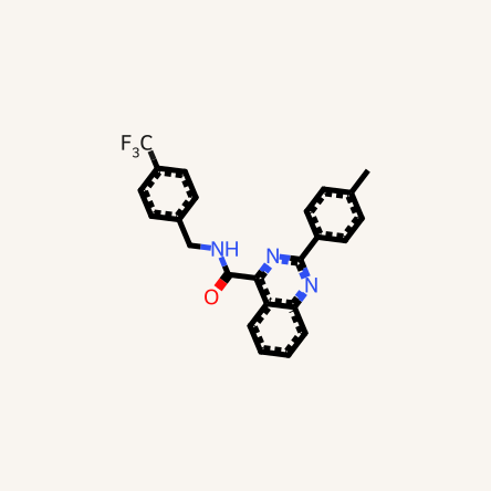 Cc1ccc(-c2nc(C(=O)NCc3ccc(C(F)(F)F)cc3)c3ccccc3n2)cc1